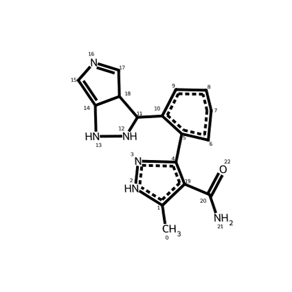 Cc1[nH]nc(-c2ccccc2C2NNC3=CN=CC32)c1C(N)=O